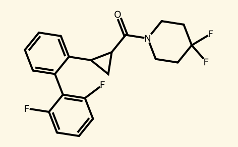 O=C(C1CC1c1ccccc1-c1c(F)cccc1F)N1CCC(F)(F)CC1